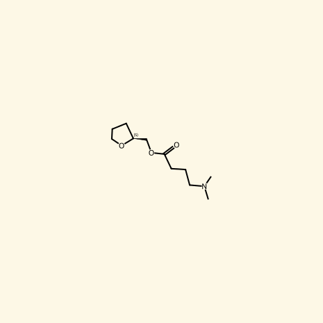 CN(C)CCCC(=O)OC[C@@H]1CCCO1